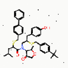 CC(C)CC(SCc1ccc(-c2ccccc2)cc1)C(=O)N(CC(Cc1ccc(O)cc1)SCc1ccc(C(C)(C)C)cc1)C1C(=O)COC1C